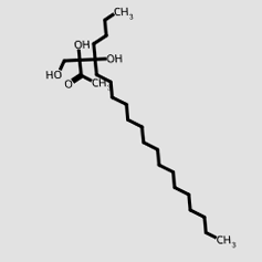 CCCCCCCCCCCCCCCCC(O)(CCCC)C(O)(CO)C(C)=O